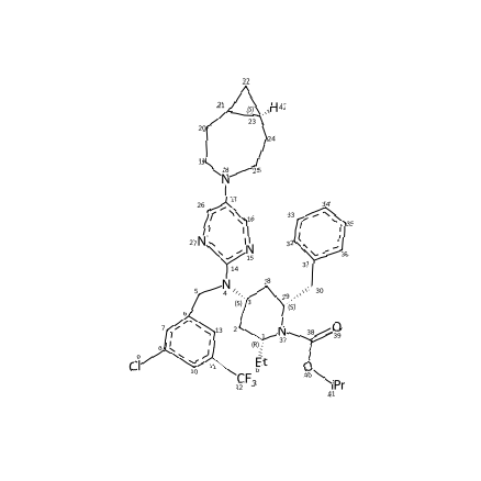 CC[C@@H]1C[C@H](N(Cc2cc(Cl)cc(C(F)(F)F)c2)c2ncc(N3CCC4C[C@H]4CC3)cn2)C[C@H](Cc2ccccc2)N1C(=O)OC(C)C